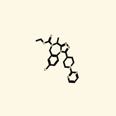 CCOC(=O)N1Cc2cc(Cl)ccc2-n2c(C3CCN(c4ncccn4)CC3)nnc2C1C